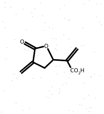 C=C1CC(C(=C)C(=O)O)OC1=O